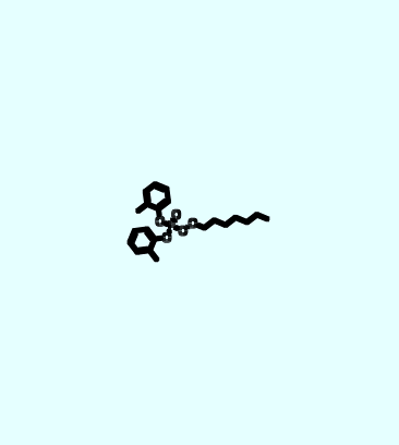 CCCCCCCOOP(=O)(Oc1ccccc1C)Oc1ccccc1C